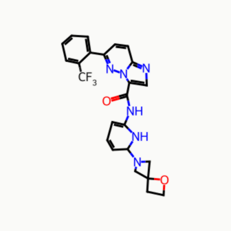 O=C(NC1=CC=CC(N2CC3(CCO3)C2)N1)c1cnc2ccc(-c3ccccc3C(F)(F)F)nn12